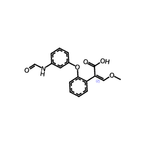 CO/C=C(\C(=O)O)c1ccccc1Oc1cccc(NC=O)c1